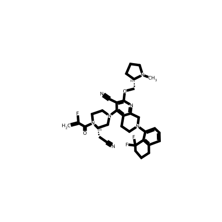 C=C(F)C(=O)N1CCN(c2c(C#N)c(OC[C@@H]3CCCN3C)nc3c2CCN(c2cccc4c2C(F)(F)CCC4)C3)C[C@@H]1CC#N